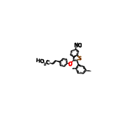 Cc1ccc(C)c(-c2sc3cc(N=O)ccc3c2Oc2ccc(/C=C/C(=O)O)cc2)c1